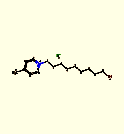 Cc1cc[n+](CCCCCCCCCS)cc1.[Br-]